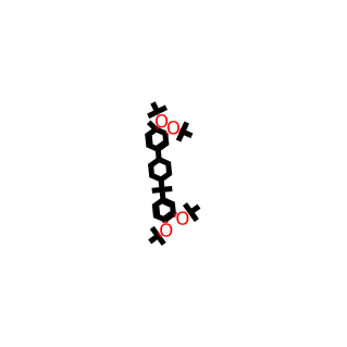 CC(C)(C)Oc1ccc(C(C)(C)C2CCC(C3=CC(OC(C)(C)C)C(C)(OC(C)(C)C)C=C3)CC2)cc1OC(C)(C)C